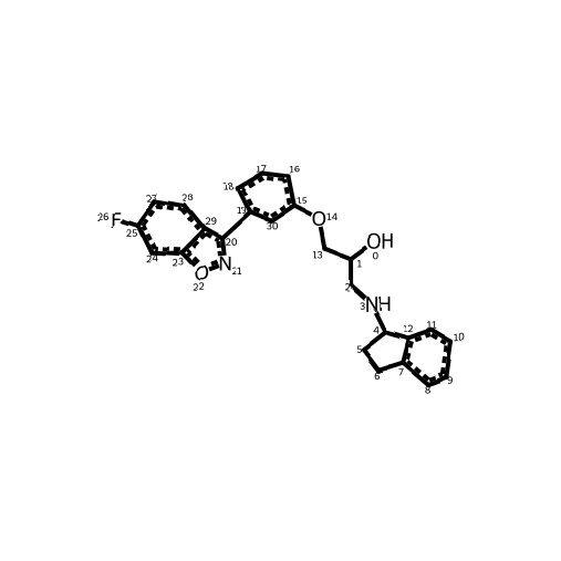 OC(CNC1CCc2ccccc21)COc1cccc(-c2noc3cc(F)ccc23)c1